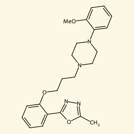 COc1ccccc1N1CCN(CCCOc2ccccc2-c2nnc(C)o2)CC1